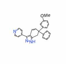 COc1cccc(C2(c3ccccc3)C=Cc3c(-c4ccncc4)n[nH]c3C2)c1